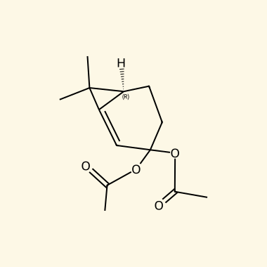 CC(=O)OC1(OC(C)=O)C=C2[C@H](CC1)C2(C)C